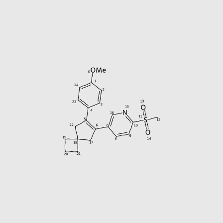 COc1ccc(C2=C(c3ccc(S(C)(=O)=O)nc3)CC3(CCC3)C2)cc1